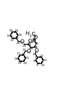 CON=C[C@@H](OCc1ccccc1)[C@H](OCc1ccccc1)[C@@H](O)COCc1ccccc1